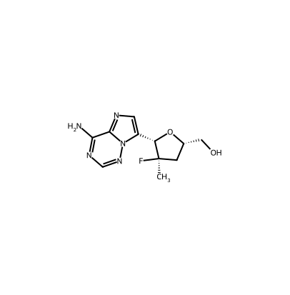 C[C@@]1(F)C[C@@H](CO)O[C@H]1c1cnc2c(N)ncnn12